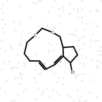 CCC1CCC2CCCCCCC/C=C/C=C/12